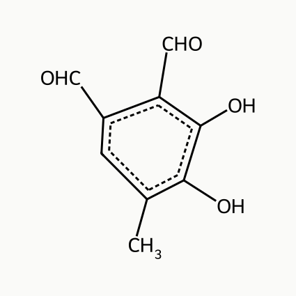 Cc1cc(C=O)c(C=O)c(O)c1O